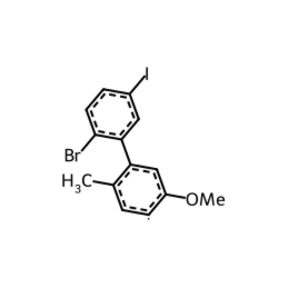 COc1[c]cc(C)c(-c2cc(I)ccc2Br)c1